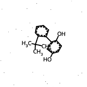 CC(C)(C)c1ccccc1-c1cc(O)ccc1O